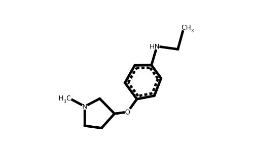 CCNc1ccc(OC2CCN(C)C2)cc1